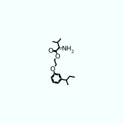 CCC(C)c1cccc(OCCOC(=O)[C@@H](N)C(C)C)c1